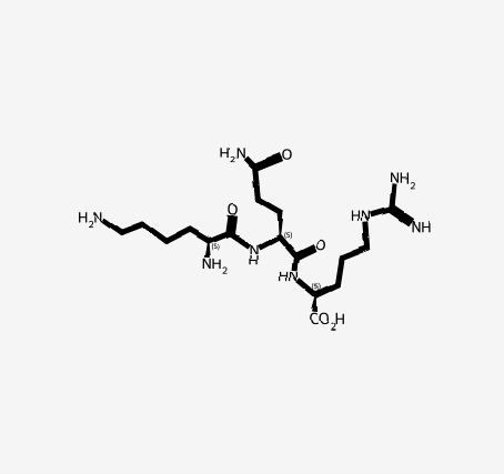 N=C(N)NCCC[C@H](NC(=O)[C@H](CCC(N)=O)NC(=O)[C@@H](N)CCCCN)C(=O)O